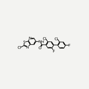 O=C(Nc1cnc2sc(Cl)nc2c1)c1cc(F)c(-c2ccc(F)cc2Cl)cc1Cl